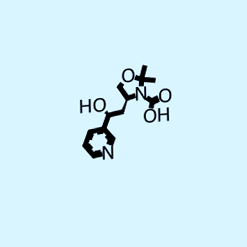 CC1(C)OC[C@H](C[C@H](O)c2cccnc2)N1C(=O)O